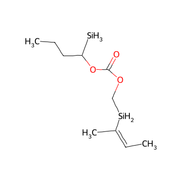 CC=C(C)[SiH2]COC(=O)OC([SiH3])CCC